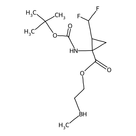 CBCCOC(=O)C1(NC(=O)OC(C)(C)C)CC1C(F)F